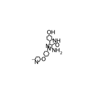 Cc1ccc(Oc2ccc(-n3nc4c(c3N)c(=O)[nH]c3cc(O)ccc34)cc2)cn1